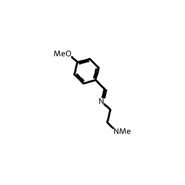 CNCC/N=C/c1ccc(OC)cc1